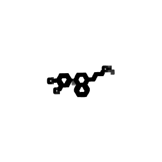 CCCCC1CC[C@@H](c2ccc(Cl)c(Cl)c2)c2ccccc21